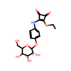 CCOc1c(Nc2ccc(OC3OC(CO)C(O)[C@H](O)[C@H]3O)cc2)c(=O)c1=O